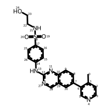 Cc1ccncc1-c1ccc2nc(Nc3ccc(S(=O)(=O)NCCO)cc3)ncc2c1